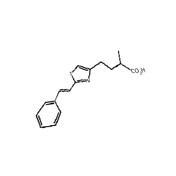 CC(CCc1csc(C=Cc2ccccc2)n1)C(=O)O